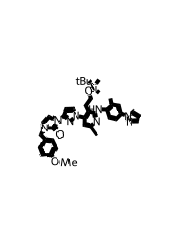 COc1ccc(CN2CCN(c3ccn(-c4cc(C)nc(Nc5ccc(-n6cccn6)cc5C)c4CCO[Si](C)(C)C(C)(C)C)n3)C2=O)cc1